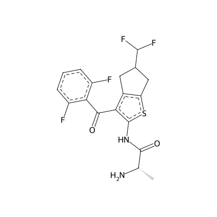 C[C@H](N)C(=O)Nc1sc2c(c1C(=O)c1c(F)cccc1F)CC(C(F)F)C2